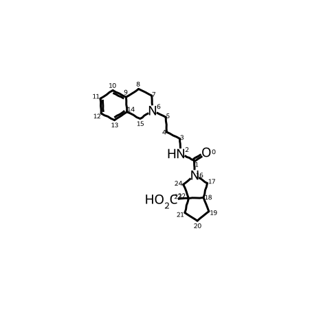 O=C(NCCCN1CCc2ccccc2C1)N1CC2CCCC2(C(=O)O)C1